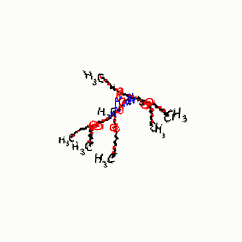 CCCCCCCCCCCOC(=O)CCCCCN(CCCCCCCC(=O)OC(CCCCCCCC)CCCCCCCC)C(C)CNC(=O)CCC(=O)NCC(C)N(CCCCCCCC(=O)OC(CCCCCCCC)CCCCCCCC)CCCCCC(=O)OCCCCCCCCCCC